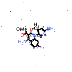 COC(=O)c1c(N)c2ccc(I)cc2n(-c2cnc(N)cc2C)c1=O